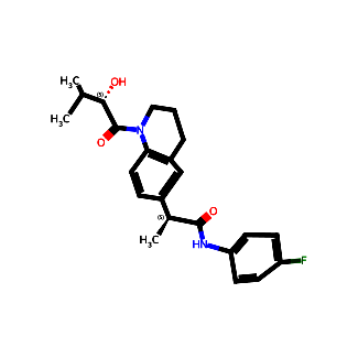 CC(C)[C@H](O)C(=O)N1CCCc2cc([C@H](C)C(=O)Nc3ccc(F)cc3)ccc21